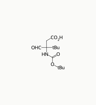 CC(C)(C)OC(=O)NC(C=O)(CC(=O)O)C(C)(C)C